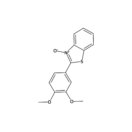 COc1ccc(-c2sc3ccccc3[n+]2[O-])cc1OC